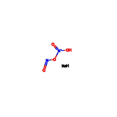 O=NO[N+](=O)O.[NaH]